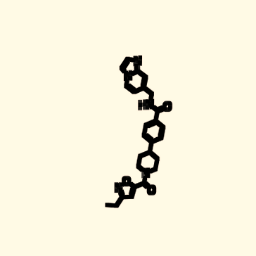 CCc1cc(C(=O)N2CCC(c3ccc(C(=O)NCc4ccn5ccnc5c4)cc3)CC2)on1